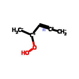 [CH2-]/[C+]=C/[C+]([CH2-])OO